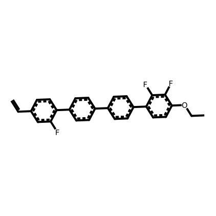 C=Cc1ccc(-c2ccc(-c3ccc(-c4ccc(OCC)c(F)c4F)cc3)cc2)c(F)c1